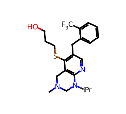 CC(C)N1CN(C)Cc2c1ncc(Cc1ccccc1C(F)(F)F)c2SCCCO